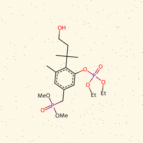 CCOP(=O)(OCC)Oc1cc(CP(=O)(OC)OC)cc(C)c1C(C)(C)CCO